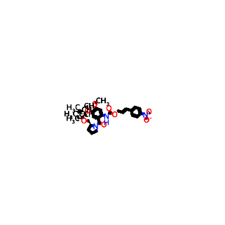 COc1cc(NC(=O)OC/C=C/c2ccc([N+](=O)[O-])cc2)c(C(=O)N2CCC[C@H]2CO[Si](C)(C)C(C)(C)C)cc1OC